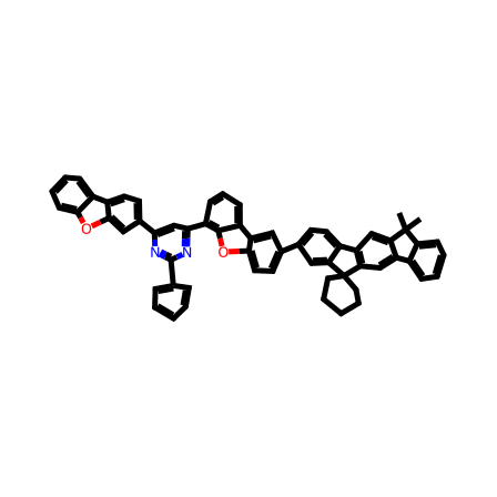 CC1(C)c2ccccc2-c2cc3c(cc21)-c1ccc(-c2ccc4oc5c(-c6cc(-c7ccc8c(c7)oc7ccccc78)nc(-c7ccccc7)n6)cccc5c4c2)cc1C31CCCCC1